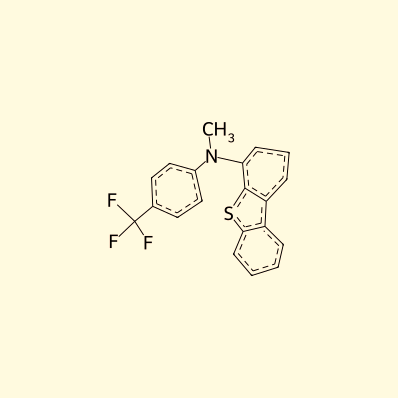 CN(c1ccc(C(F)(F)F)cc1)c1cccc2c1sc1ccccc12